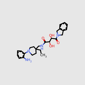 CCC1(CNC(=O)[C@H](O)[C@@H](O)C(=O)N2Cc3ccccc3C2)CCN(c2ccccc2N)CC1